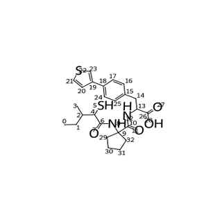 CCC(C)C(S)C(=O)NC1(C(=O)NC(Cc2ccc(-c3ccsc3)cc2)C(=O)O)CCCC1